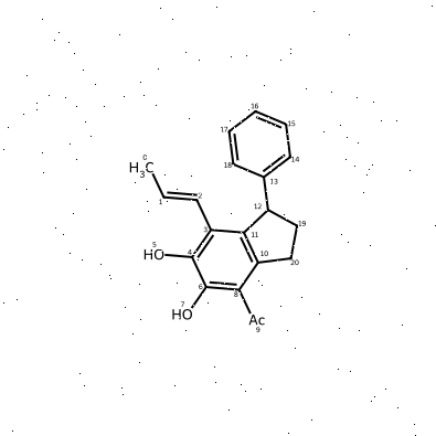 C/C=C/c1c(O)c(O)c(C(C)=O)c2c1C(c1ccccc1)CC2